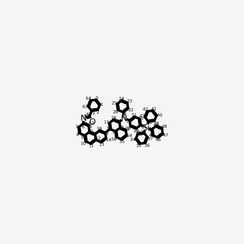 c1ccc(-c2nc3ccc4ccc5ccc(-c6ccc(N(c7ccccc7)c7ccc([Si](c8ccccc8)(c8ccccc8)c8ccccc8)cc7)c7ccccc67)cc5c4c3o2)cc1